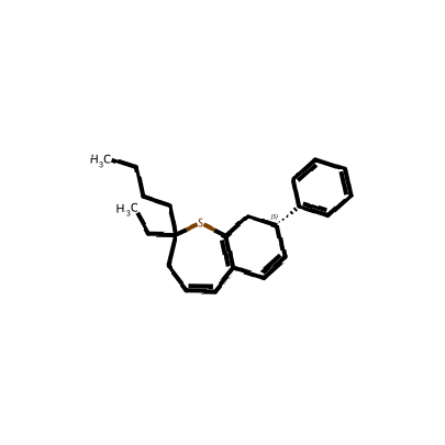 CCCCC1(CC)CC=CC2=C(C[C@H](c3ccccc3)C=C2)S1